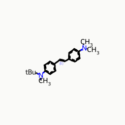 CN(C)c1ccc(/C=C/c2ccc(N(C)C(C)(C)C)cc2)cc1